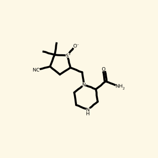 CC1(C)C(C#N)CC(CN2CCNCC2C(N)=O)[S+]1[O-]